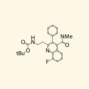 CNC(=O)c1c(-c2ccccc2)c(CCNC(=O)OC(C)(C)C)nc2c(F)cccc12